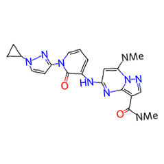 CNC(=O)c1cnn2c(NC)cc(Nc3cccn(-c4ccn(C5CC5)n4)c3=O)nc12